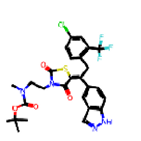 CN(CCN1C(=O)SC(=C(Cc2ccc(Cl)cc2C(F)(F)F)c2ccc3[nH]ncc3c2)C1=O)C(=O)OC(C)(C)C